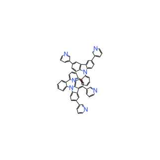 c1cncc(-c2ccc3c(c2)c2cc(-c4cccnc4)ccc2n3-c2ccccc2-c2cccc(-c3ccccc3-n3c4ccc(-c5cccnc5)cc4c4c(-c5cccnc5)cccc43)n2)c1